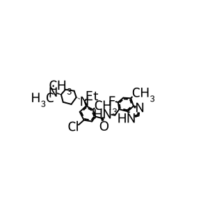 CCN(c1cc(Cl)cc(C(=O)NCc2c(F)cc(C)c3nc[nH]c23)c1C)[C@H]1CC[C@H](N(C)C)CC1